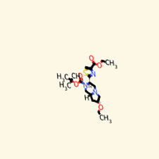 CCOC(=O)c1csc([C@@H]2CN3C[C@H](OCC)C[C@@H]3CN2C(=O)OC(C)(C)C)n1